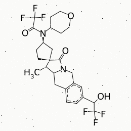 CC1C2Cc3ccc(C(O)C(F)(F)F)cc3CN2C(=O)[C@]12CC[C@@H](N(C(=O)C(F)(F)F)C1CCOCC1)C2